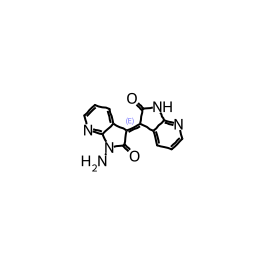 NN1C(=O)/C(=C2/C(=O)Nc3ncccc32)c2cccnc21